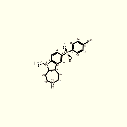 CN1c2ccc(S(=O)(=O)c3ccc(F)cc3)cc2C2CCNCCC21